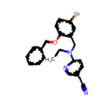 CCN(Cc1cc(Br)ccc1OCc1ccccc1)c1ccc(C#N)cn1